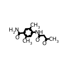 CC(=O)CC(=O)Nc1cc(C)c(C(N)=O)cc1C